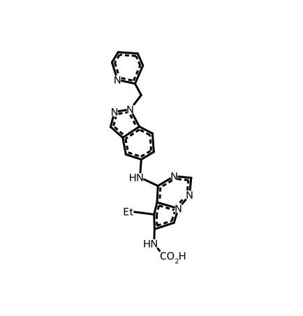 CCc1c(NC(=O)O)cn2ncnc(Nc3ccc4c(cnn4Cc4ccccn4)c3)c12